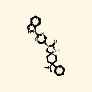 CN(C)[C@]1(c2ccccc2)CC[C@@]2(CC1)CN(c1cnc(-n3ncc4ccccc43)nc1)C(=O)N2